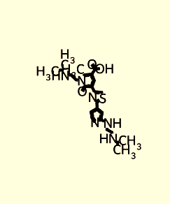 Cc1c(C(=O)O)cc(-c2csc(-c3ccnc(NCCNC(C)C)c3)n2)c(=O)n1CCNC(C)C